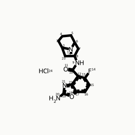 CN1C2CCCC1CC(NC(=O)c1c(F)ccc3oc(N)nc13)C2.Cl